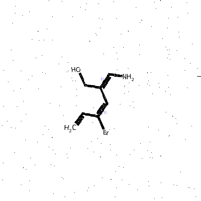 C=C/C(Br)=C\C(=C/N)CO